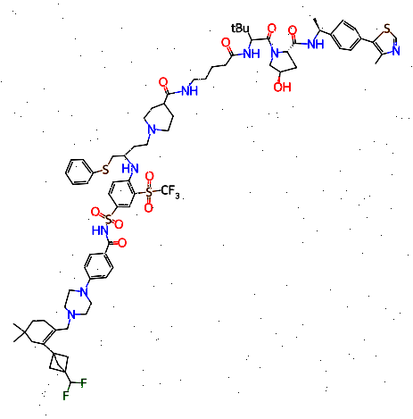 Cc1ncsc1-c1ccc([C@H](C)NC(=O)[C@@H]2C[C@@H](O)CN2C(=O)C(NC(=O)CCCCNC(=O)C2CCN(CCC(CSc3ccccc3)Nc3ccc(S(=O)(=O)NC(=O)c4ccc(N5CCN(CC6=C(C78CC(C(F)F)(C7)C8)CC(C)(C)CC6)CC5)cc4)cc3S(=O)(=O)C(F)(F)F)CC2)C(C)(C)C)cc1